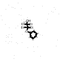 CCC(O)(CC)C(CC)(CC)Oc1ccccc1